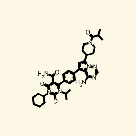 CC(C)C(=O)N1CCC(c2cc(-c3ccc(-c4c(C(N)=O)c(=O)n(C5CCCCC5)c(=O)n4C(C)C)cc3)c3c(N)ncnn23)CC1